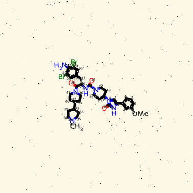 COc1cccc(-c2cn(C3CCN(C(=O)N[C@H](Cc4cc(Br)c(N)c(Br)c4)C(=O)N4CCC(C5CCN(C)CC5)CC4)CC3)c(=O)[nH]2)c1